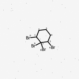 Br[C]1CCCC(Br)C1(Br)Br